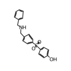 O=S(=O)(c1ccc(O)cc1)c1ccc(CNCc2ccccc2)cc1